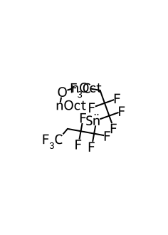 CCCCCCCCOCCCCCCCC.FC(F)(F)CC(F)(F)[C](F)(F)[Sn][C](F)(F)C(F)(F)CC(F)(F)F